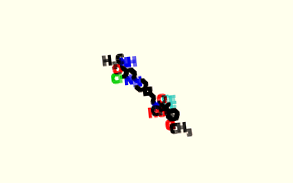 CNC(=O)c1ccc(N2CCC3(CC2)CC(CCN(C)C(=O)C(O)(c2cccc(OC)c2)C(F)(F)F)C3)nc1Cl